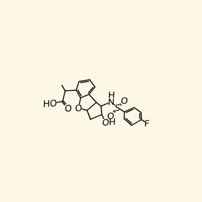 CC(C(=O)O)c1cccc2c1OC1CC(O)C(NS(=O)(=O)c3ccc(F)cc3)C21